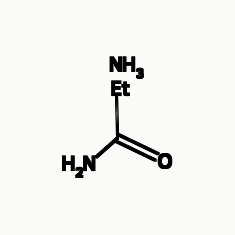 CCC(N)=O.N